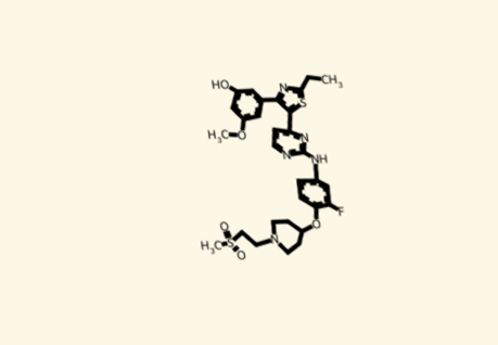 CCc1nc(-c2cc(O)cc(OC)c2)c(-c2ccnc(Nc3ccc(OC4CCN(CCS(C)(=O)=O)CC4)c(F)c3)n2)s1